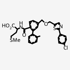 CSCCC(NC(=O)c1ccc(COCc2cnc(-c3ccc(Cl)cc3)s2)cc1-c1ccccc1C)C(=O)O